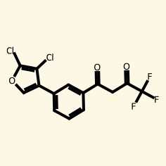 O=C(CC(=O)C(F)(F)F)c1cccc(-c2coc(Cl)c2Cl)c1